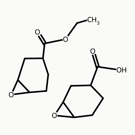 CCOC(=O)C1CCC2OC2C1.O=C(O)C1CCC2OC2C1